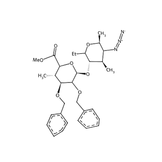 CCC1O[C@@H](C)C(N=[N+]=[N-])[C@@H](C)[C@@H]1O[C@@H]1OC(C(=O)OC)[C@@H](C)[C@H](OCc2ccccc2)C1OCc1ccccc1